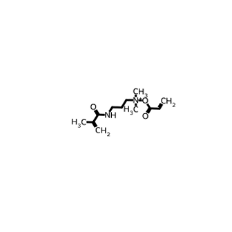 C=CC(=O)O[N+](C)(C)CCCNC(=O)C(=C)C